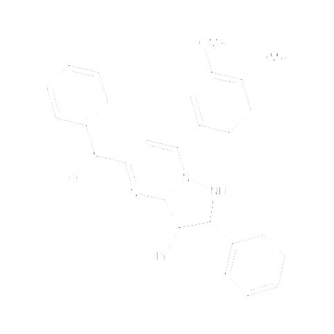 COc1ccc(C2=CC(C(=O)c3ccccc3)=NC3C(Br)C(c4ccccc4)NN23)cc1OC